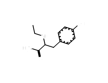 CCNC(Cc1ccc(O)cc1)C(N)=O